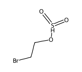 O=[SH](=O)OCCBr